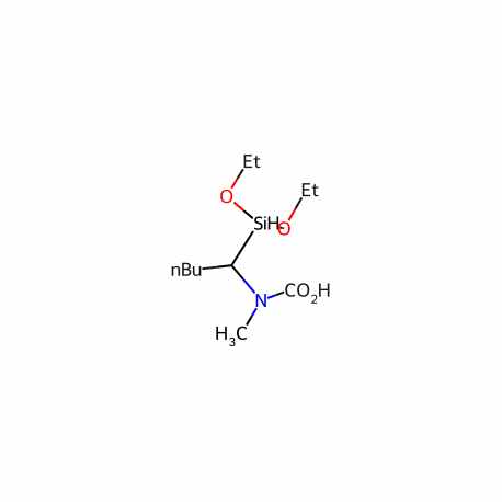 CCCCC(N(C)C(=O)O)[SiH](OCC)OCC